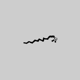 CCCCCCCCCC/C=C\[Si](C)(C)C